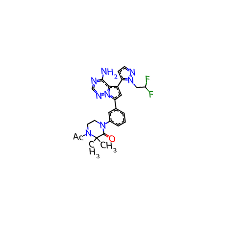 CC(=O)N1CCN(c2cccc(-c3cc(-c4ccnn4CC(F)F)c4c(N)ncnn34)c2)C(=O)C1(C)C